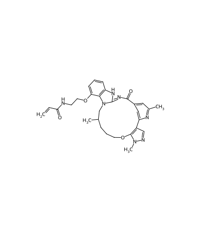 C=CC(=O)NCCOc1cccc2c1N1CC(C)CCCOc3c(cnn3C)-c3cc(cc(C)n3)C(=O)/N=C/1N2